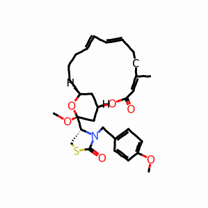 COc1ccc(CN2C(=O)SC[C@@H]2[C@@]2(OC)C[C@H]3C[C@@H](CCC/C=C/C=C/CC/C(C)=C\C(=O)O3)O2)cc1